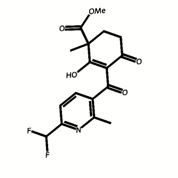 COC(=O)C1(C)CCC(=O)C(C(=O)c2ccc(C(F)F)nc2C)=C1O